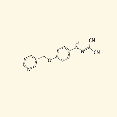 N#CC(C#N)=NNc1ccc(OCc2cccnc2)cc1